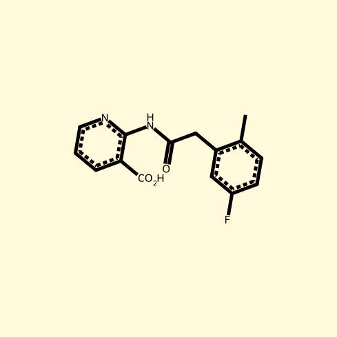 Cc1ccc(F)cc1CC(=O)Nc1ncccc1C(=O)O